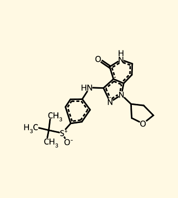 CC(C)(C)[S+]([O-])c1ccc(Nc2nn(C3CCOC3)c3cc[nH]c(=O)c23)cc1